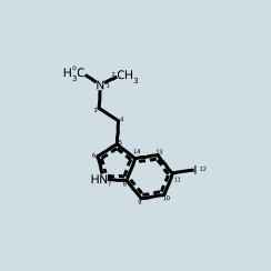 CN(C)CCc1c[nH]c2ccc(I)cc12